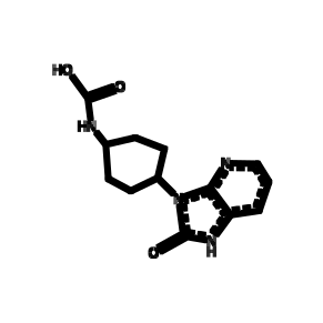 O=C(O)NC1CCC(n2c(=O)[nH]c3cccnc32)CC1